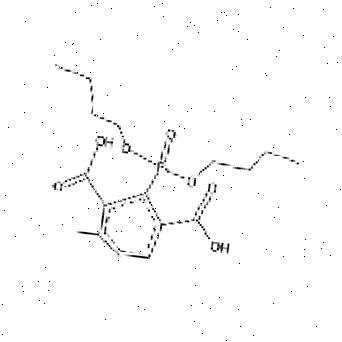 CCCCOP(=O)(OCCCC)c1c(C(=O)O)ccc(C)c1C(=O)O